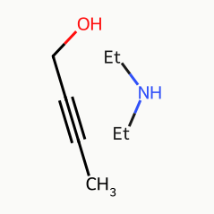 CC#CCO.CCNCC